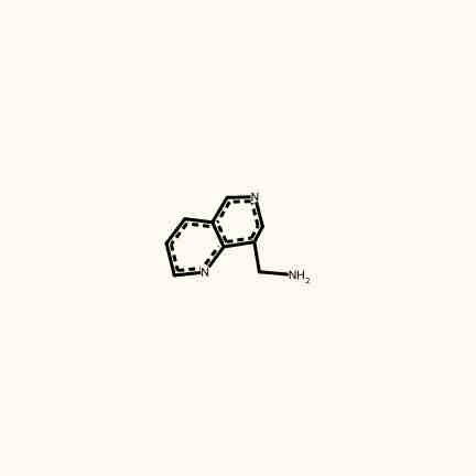 NCc1cncc2cccnc12